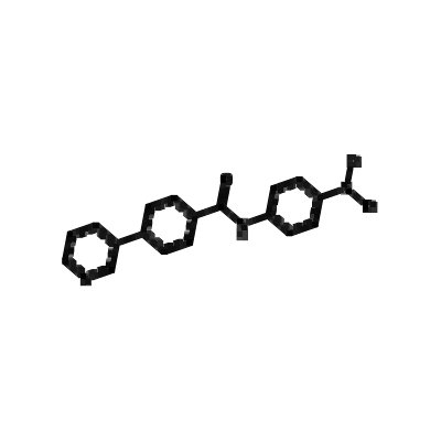 CCN(CC)c1ccc(NC(=O)c2ccc(-c3cccnc3)cc2)cc1